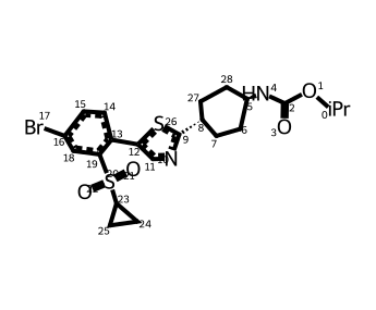 CC(C)OC(=O)N[C@H]1CC[C@H](c2ncc(-c3ccc(Br)cc3S(=O)(=O)C3CC3)s2)CC1